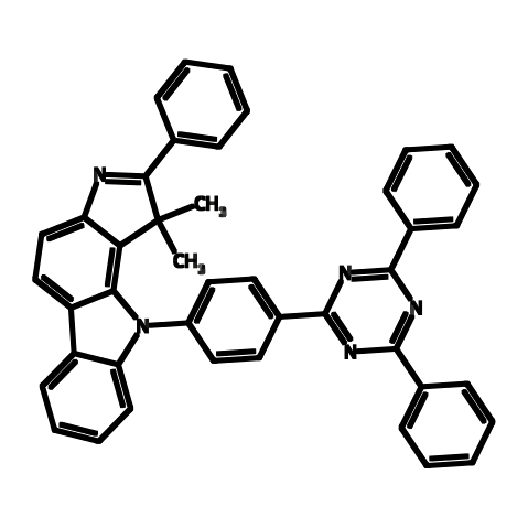 CC1(C)C(c2ccccc2)=Nc2ccc3c4ccccc4n(-c4ccc(-c5nc(-c6ccccc6)nc(-c6ccccc6)n5)cc4)c3c21